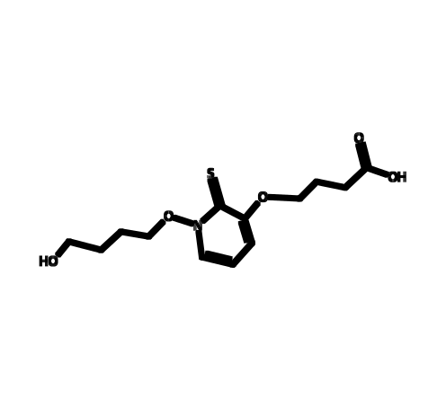 O=C(O)CCCOc1cccn(OCCCCO)c1=S